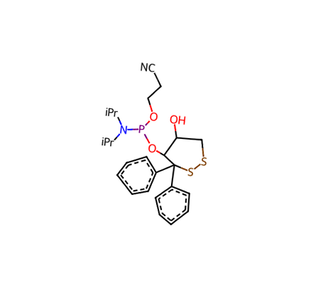 CC(C)N(C(C)C)P(OCCC#N)OC1C(O)CSSC1(c1ccccc1)c1ccccc1